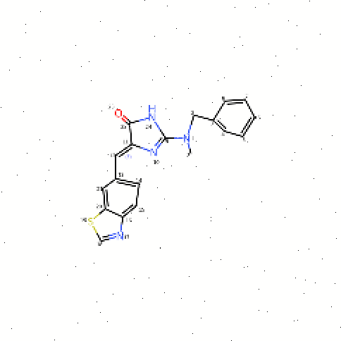 CN(Cc1ccccc1)C1=N/C(=C\c2ccc3ncsc3c2)C(=O)N1